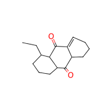 CCC1CCCC2C(=O)C3CCCC=C3C(=O)C12